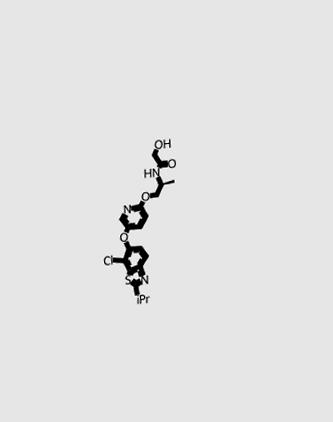 CC(C)c1nc2ccc(Oc3ccc(OC[C@H](C)NC(=O)CO)nc3)c(Cl)c2s1